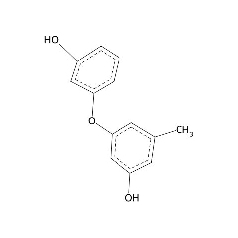 Cc1cc(O)cc(Oc2cccc(O)c2)c1